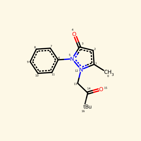 Cc1cc(=O)n(-c2ccccc2)n1CC(=O)C(C)(C)C